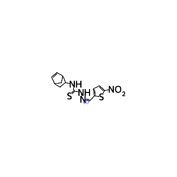 O=[N+]([O-])c1ccc(/C=N\NC(=S)NC2CC3C=CC2C3)s1